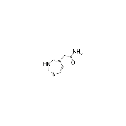 NC(=O)CC1=CNC=NC=C1